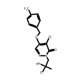 CCCC(C)(Cl)Cn1ncc(OCc2ccc(C(F)(F)F)cc2)c(Cl)c1=O